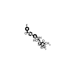 Cn1c(=O)c2c(ncn2CC(O)Nc2ccc(N3CCN(C(=O)c4ccc(F)cc4)CC3)cn2)n(C)c1=O